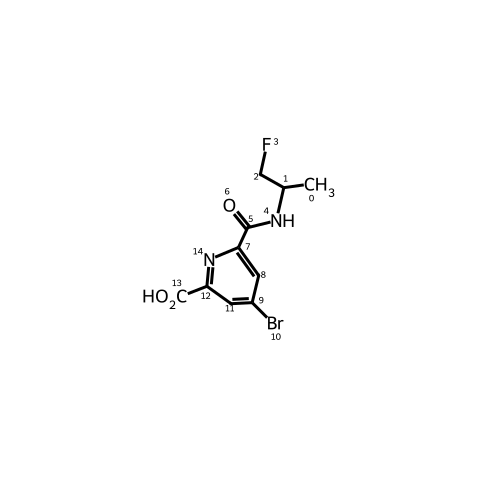 CC(CF)NC(=O)c1cc(Br)cc(C(=O)O)n1